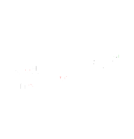 CC(C)O[SiH](CCCO[C@H]1CC[C@H](c2ccc(Br)cc2)CC1)OC(C)C